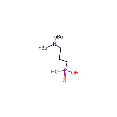 CCCCN(CCCC)CCCP(=O)(O)O